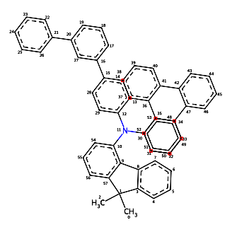 CC1(C)c2ccccc2-c2c(N(c3ccc(-c4cccc(-c5ccccc5)c4)cc3)c3ccccc3-c3ccccc3-c3ccccc3-c3ccccc3)cccc21